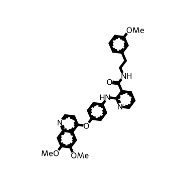 COc1cccc(CCNC(=O)c2cccnc2Nc2ccc(Oc3ccnc4cc(OC)c(OC)cc34)cc2)c1